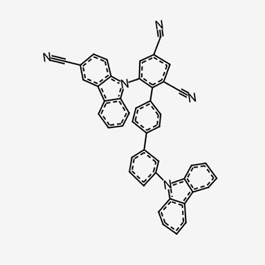 N#Cc1cc(C#N)c(-c2ccc(-c3cccc(-n4c5ccccc5c5ccccc54)c3)cc2)c(-n2c3ccccc3c3cc(C#N)ccc32)c1